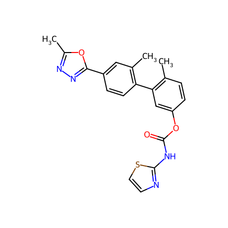 Cc1nnc(-c2ccc(-c3cc(OC(=O)Nc4nccs4)ccc3C)c(C)c2)o1